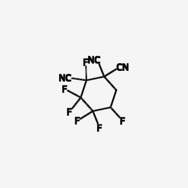 N#CC1(C#N)CC(F)C(F)(F)C(F)(F)C1(F)C#N